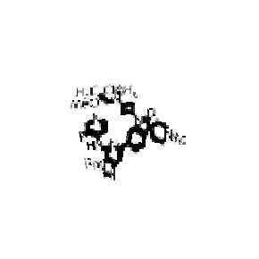 COC(C)(C)CN(C)[C@H]1C[C@@H](N2C(=O)C3(CCN(C(C)=O)CC3)c3ccc(-c4cc5ncn(C(C)C)c5c(Nc5ccncc5F)n4)cc32)C1